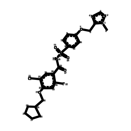 Cn1ncnc1COc1ccc(S(=O)(=O)NC(=O)c2cc(Cl)c(OCC3CCCC3)cc2F)cc1